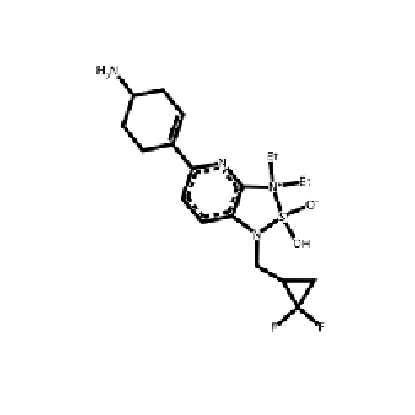 CC[N+]1(CC)c2nc(C3=CCC(N)CC3)ccc2N(CC2CC2(F)F)S1([O-])O